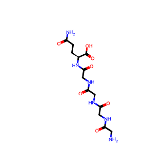 NCC(=O)NCC(=O)NCC(=O)NCC(=O)N[C@@H](CCC(N)=O)C(=O)O